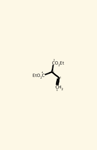 C=CC(C(=O)OCC)C(=O)OCC